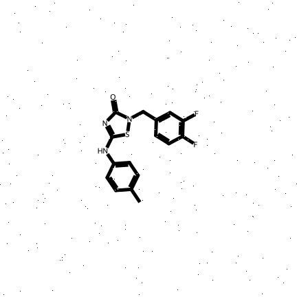 Cc1ccc(Nc2nc(=O)n(Cc3ccc(F)c(F)c3)s2)cc1